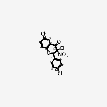 O=C1c2cc(Cl)ccc2OC(c2ccc(Cl)cc2)C1(Cl)[N+](=O)[O-]